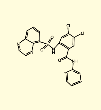 O=C(Nc1[c]cccc1)c1cc(Cl)c(Cl)cc1NS(=O)(=O)c1cccc2nccnc12